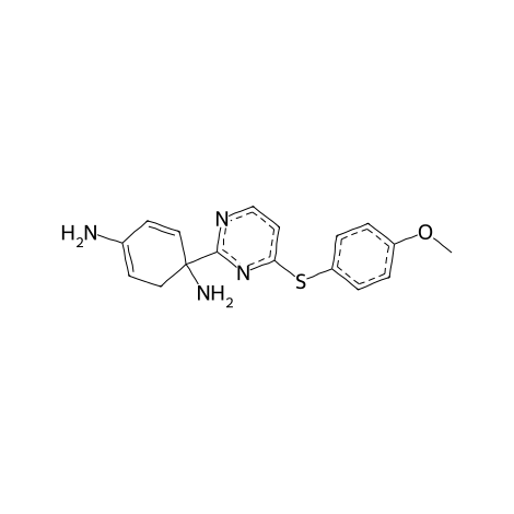 COc1ccc(Sc2ccnc(C3(N)C=CC(N)=CC3)n2)cc1